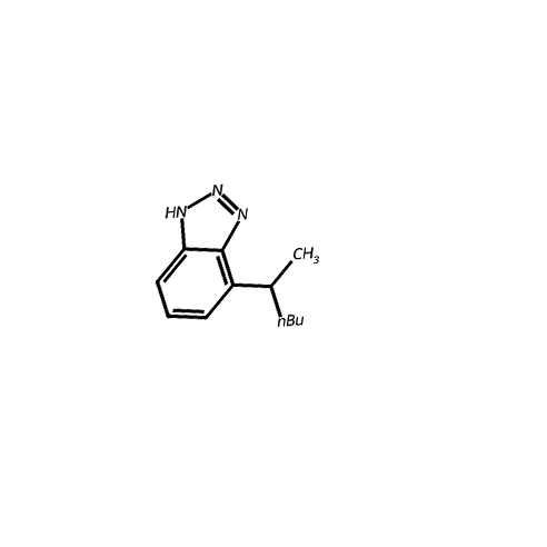 CCCCC(C)c1cccc2[nH]nnc12